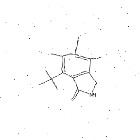 C=C1NCc2c(C)c(C)c(C)c(C(C)(C)C)c21